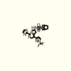 O=S(=O)(NC1CC2=C(c3ccn(C(F)F)n3)CN=C(c3nccs3)N2C1)N1CC2CCC(C1)C2O